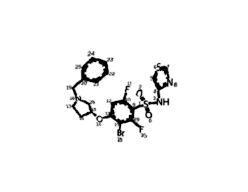 O=S(=O)(Nc1cscn1)c1c(F)cc(O[C@H]2CCN(Cc3ccccc3)C2)c(Br)c1F